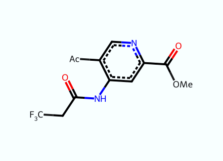 COC(=O)c1cc(NC(=O)CC(F)(F)F)c(C(C)=O)cn1